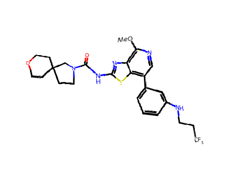 COc1ncc(-c2cccc(NCCC(F)(F)F)c2)c2sc(NC(=O)N3CCC4(CCOCC4)C3)nc12